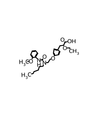 CCCCCCN(CCOc1ccc(CC(OCC)C(=O)O)cc1)C(=O)Nc1ccccc1OC